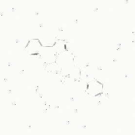 COCC(COC)n1c(NS[C@@H](C)[C@H](OC)c2ncc(C)cn2)nnc1-c1ccccn1